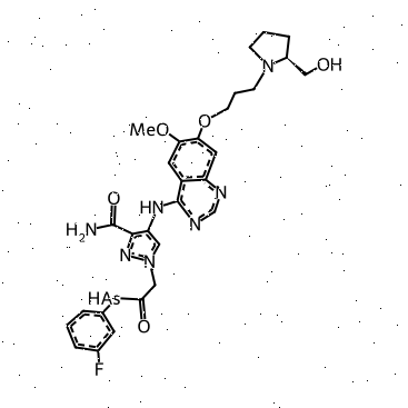 COc1cc2c(Nc3cn(CC(=O)[AsH]c4cccc(F)c4)nc3C(N)=O)ncnc2cc1OCCCN1CCC[C@H]1CO